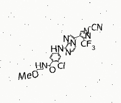 COCCNC(=O)c1ccc(Nc2nccn3c(-c4cn(CC#N)nc4C(F)(F)F)cnc23)cc1Cl